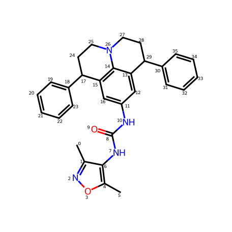 Cc1noc(C)c1NC(=O)Nc1cc2c3c(c1)C(c1ccccc1)CCN3CCC2c1ccccc1